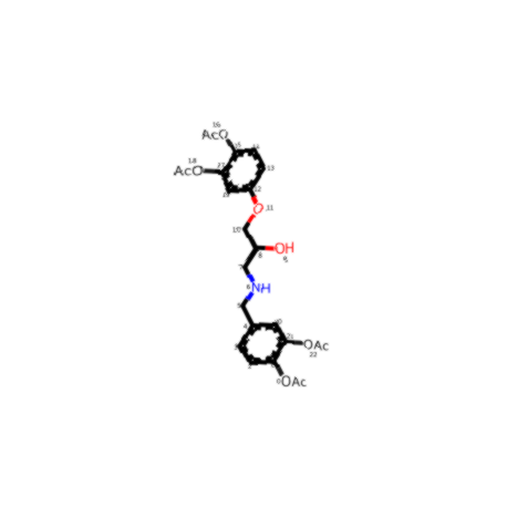 CC(=O)Oc1ccc(CNCC(O)COc2ccc(OC(C)=O)c(OC(C)=O)c2)cc1OC(C)=O